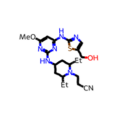 CCC1CC(Nc2nc(Nc3ncc(CO)s3)cc(OC)n2)CC(CC)N1CCC#N